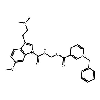 COc1ccc2c(CCN(C)C)cn(C(=O)NCOC(=O)C3=CN(Cc4ccccc4)C=CC3)c2c1